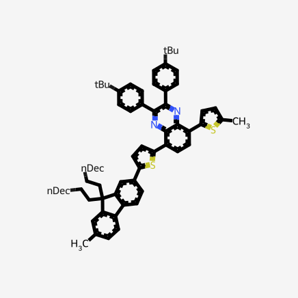 CCCCCCCCCCCCC1(CCCCCCCCCCCC)c2cc(C)ccc2-c2ccc(-c3ccc(-c4ccc(-c5ccc(C)s5)c5nc(-c6ccc(C(C)(C)C)cc6)c(-c6ccc(C(C)(C)C)cc6)nc45)s3)cc21